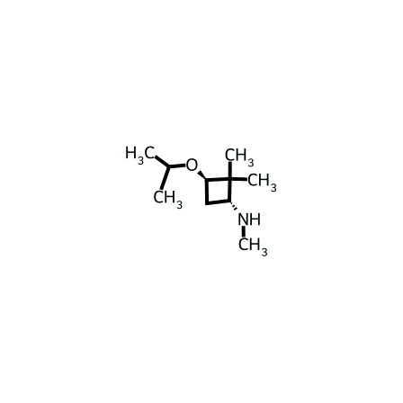 CN[C@@H]1C[C@@H](OC(C)C)C1(C)C